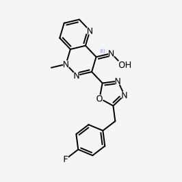 Cn1nc(-c2nnc(Cc3ccc(F)cc3)o2)/c(=N\O)c2ncccc21